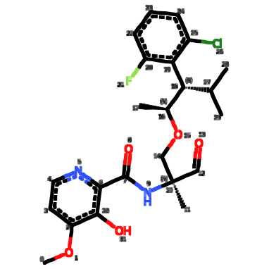 COc1ccnc(C(=O)N[C@](C)(C=O)CO[C@@H](C)[C@H](c2c(F)cccc2Cl)C(C)C)c1O